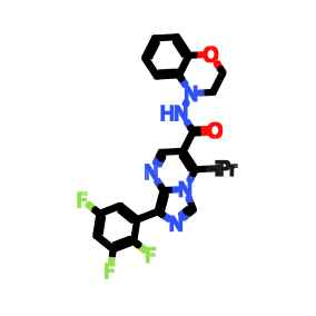 CC(C)c1c(C(=O)NN2CCOc3ccccc32)cnc2c(-c3cc(F)cc(F)c3F)ncn12